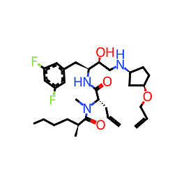 C=CCO[C@@H]1CC[C@H](NC[C@H](O)[C@H](Cc2cc(F)cc(F)c2)NC(=O)[C@H](CC=C)N(C)C(=O)[C@@H](C)CCCC)C1